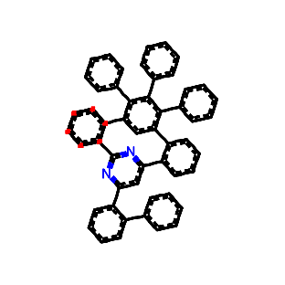 c1ccc(-c2nc(-c3ccccc3-c3ccccc3)cc(-c3ccccc3-c3cc(-c4ccccc4)c(-c4ccccc4)c(-c4ccccc4)c3-c3ccccc3)n2)cc1